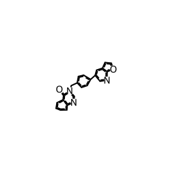 O=c1c2ccccc2ncn1Cc1ccc(-c2cnc3occc3c2)cc1